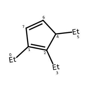 CCC1=C(CC)C(CC)C=C1